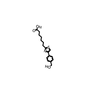 O=C(O)CCCCCCc1nc(-c2ccc(CO)cc2)cs1